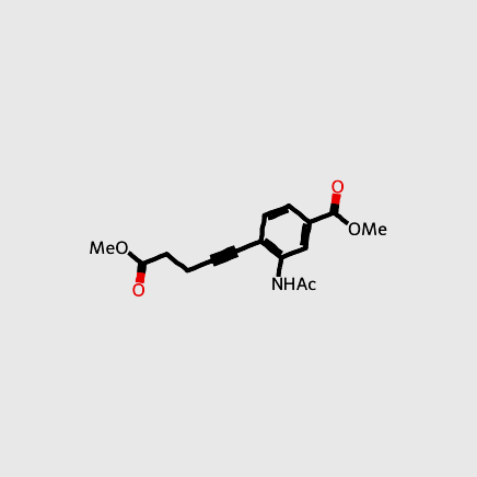 COC(=O)CCC#Cc1ccc(C(=O)OC)cc1NC(C)=O